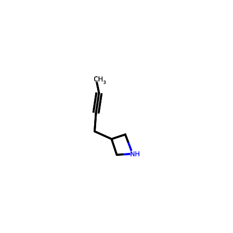 CC#CCC1CNC1